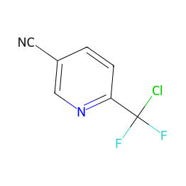 N#Cc1ccc(C(F)(F)Cl)nc1